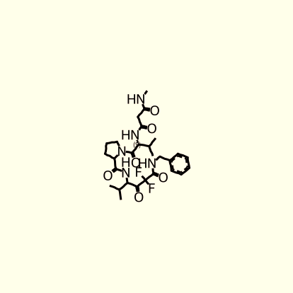 CNC(=O)CC(=O)N[C@H](C(=O)N1CCCC1C(=O)NC(C(=O)C(F)(F)C(=O)NCc1ccccc1)C(C)C)C(C)C